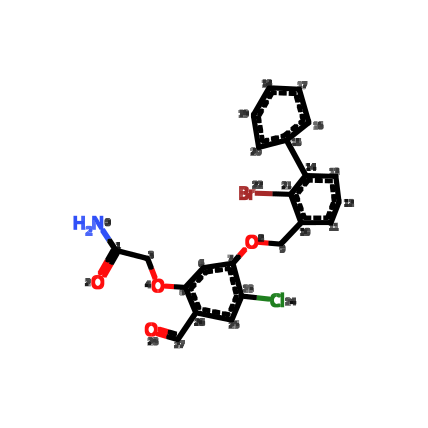 NC(=O)COc1cc(OCc2cccc(-c3ccccc3)c2Br)c(Cl)cc1C=O